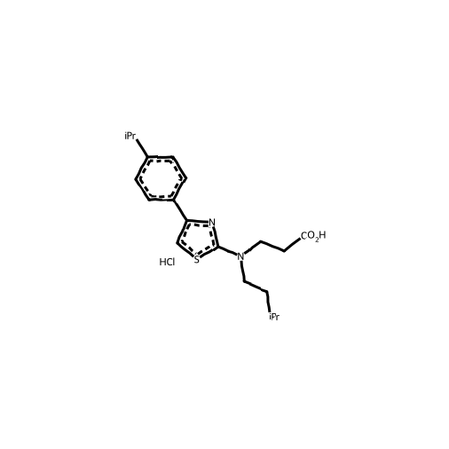 CC(C)CCN(CCC(=O)O)c1nc(-c2ccc(C(C)C)cc2)cs1.Cl